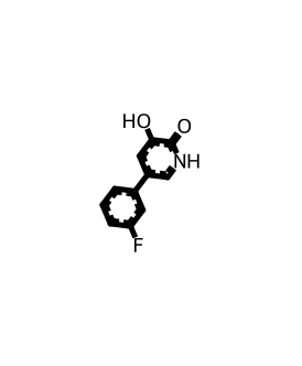 O=c1[nH]cc(-c2cccc(F)c2)cc1O